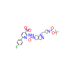 CC(C)(C)OC(=O)N1CC(Cn2ncc3c2CN(C(=O)Nc2nc(-c4ccc(F)cc4)ccc2[N+](=O)[O-])C3)C1